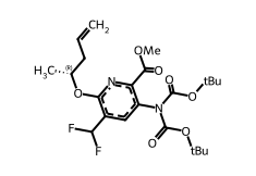 C=CC[C@@H](C)Oc1nc(C(=O)OC)c(N(C(=O)OC(C)(C)C)C(=O)OC(C)(C)C)cc1C(F)F